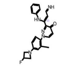 Cc1cc(N2CC(F)C2)ccc1-n1ccc(=O)c(/C(=C/C=N)Nc2ccccc2)n1